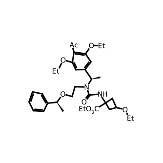 CCOC(=O)C1(NC(=O)N(CCO[C@@H](C)c2ccccc2)[C@H](C)c2cc(OCC)c(C(C)=O)c(OCC)c2)CC(OCC)C1